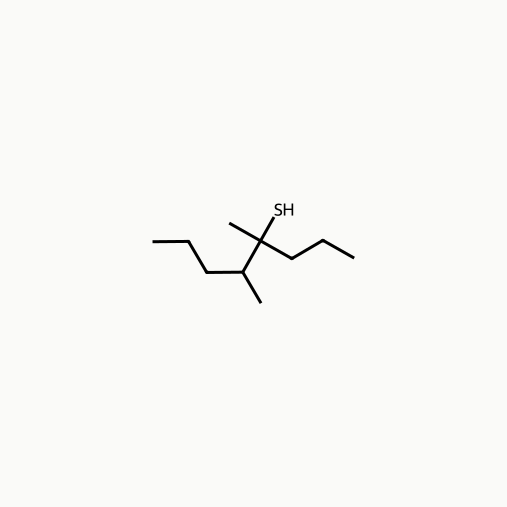 CCCC(C)C(C)(S)CCC